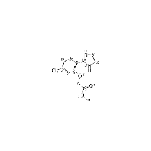 COC(=O)COc1cc(Cl)ccc1-c1ncc[nH]1